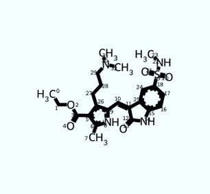 CCOC(=O)c1c(C)[nH]c(C=C2C(=O)Nc3ccc(S(=O)(=O)NC)cc32)c1CCCN(C)C